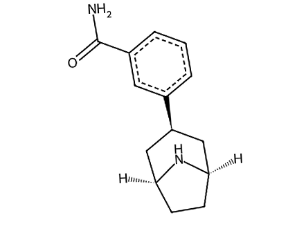 NC(=O)c1cccc([C@H]2C[C@H]3CC[C@@H](C2)N3)c1